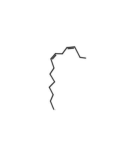 [CH2]CCCCCC/C=C\C/C=C\CC